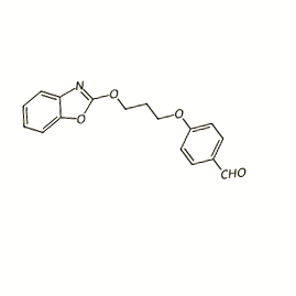 O=Cc1ccc(OCCCOc2nc3ccccc3o2)cc1